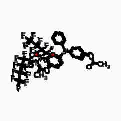 CC(=O)Oc1ccc([S+](c2ccccc2)c2ccc(OC(C)=[N+](S(=O)(=O)C(F)(F)C(F)(F)C(F)(F)C(F)(F)F)S(=O)(=O)C(F)(F)C(F)(F)C(F)(F)C(F)(F)F)cc2)cc1